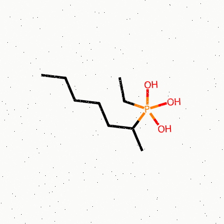 CCCCCC(C)P(O)(O)(O)CC